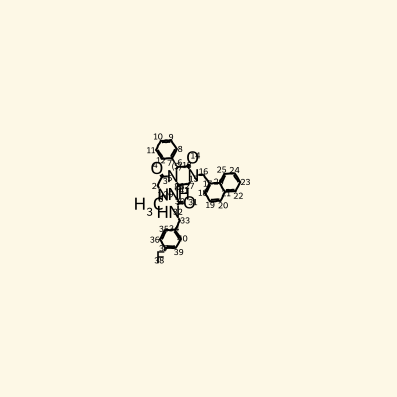 CN1CC(=O)N2[C@@H](c3ccccc3)C(=O)N(Cc3cccc4ccccc34)C[C@@H]2N1C(=O)NCc1ccc(F)cc1